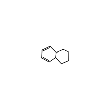 C1=C[C]2CCCCC2C=C1